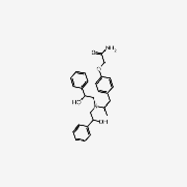 CC(Cc1ccc(OCC(N)=O)cc1)N(CC(O)c1ccccc1)CC(O)c1ccccc1